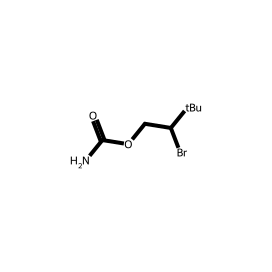 CC(C)(C)C(Br)COC(N)=O